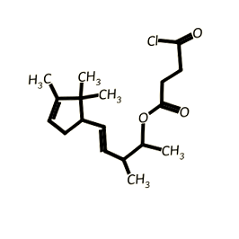 CC1=CCC(C=CC(C)C(C)OC(=O)CCC(=O)Cl)C1(C)C